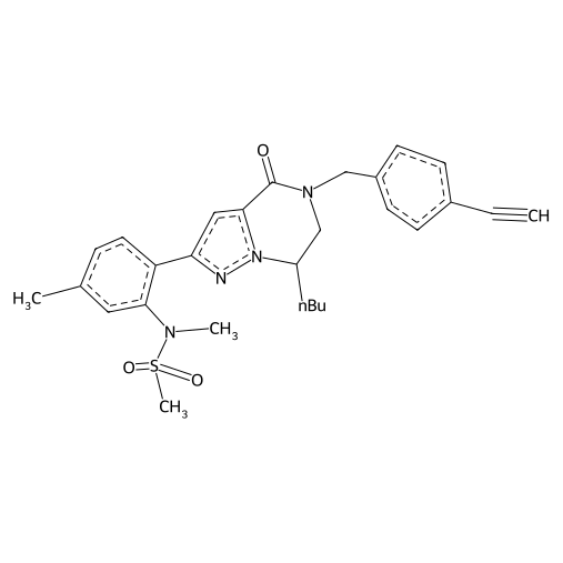 C#Cc1ccc(CN2CC(CCCC)n3nc(-c4ccc(C)cc4N(C)S(C)(=O)=O)cc3C2=O)cc1